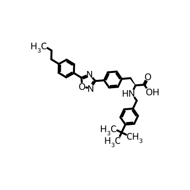 CCCc1ccc(-c2nc(-c3ccc(C[C@H](NCc4ccc(C(C)(C)C)cc4)C(=O)O)cc3)no2)cc1